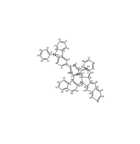 c1ccc(-c2nc(-c3ccc4c(c3)c3ccccc3n4-c3ccccc3)nc(-c3c(-n4c5ccccc5c5cc6ccccc6cc54)ccc4ccccc34)n2)cc1